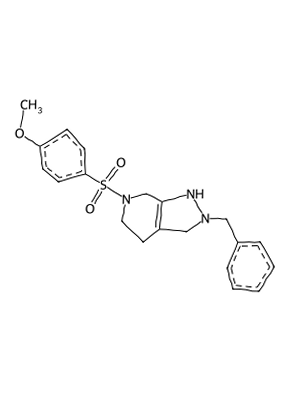 COc1ccc(S(=O)(=O)N2CCC3=C(C2)NN(Cc2ccccc2)C3)cc1